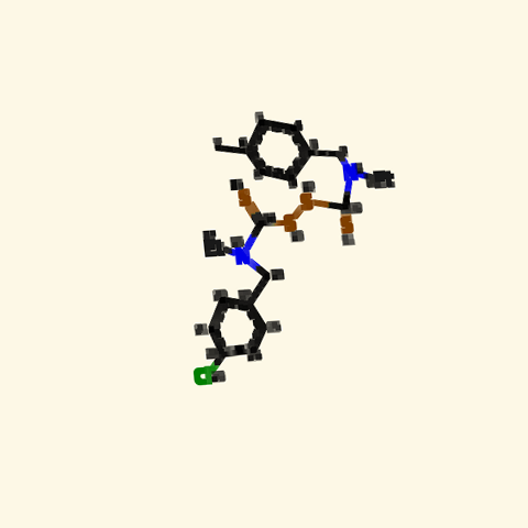 CCN(Cc1ccc(C)cc1)C(=S)SSC(=S)N(CC)Cc1ccc(Cl)cc1